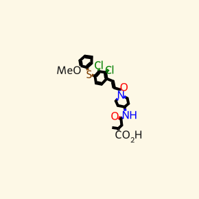 COc1ccccc1Sc1ccc(/C=C/C(=O)N2CCC(NC(=O)CC(C)C(=O)O)CC2)c(Cl)c1Cl